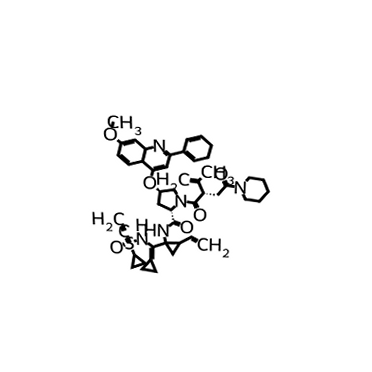 C=C=S(=O)(NC(=C1CC1)C1(NC(=O)[C@@H]2C[C@@H](OC3=CC(C4=CCCC=C4)=NC4C=C(OC)C=CC34)CN2C(=O)[C@@H](CC(=O)N2CCCCC2)C(=C)C)CC1C=C)C1CC1